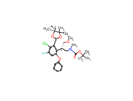 COC[C@H](CN(C)C(=O)OC(C)(C)C)c1c(Oc2ccccc2)cc(F)c(Cl)c1B1OC(C)(C)C(C)(C)O1